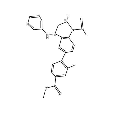 COC(=O)c1ccc(-c2ccc3c(c2)[C@H](Nc2cccnc2)C[C@H](C)N3C(C)=O)c(C)c1